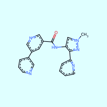 Cn1cc(NC(=O)c2cncc(-c3cccnc3)c2)c(-c2ccccn2)n1